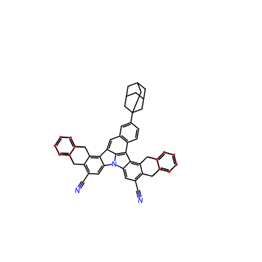 N#Cc1cc2c(c3c1C1c4ccccc4C3c3ccccc31)c1cc3cc(C45CC6CC(CC(C6)C4)C5)ccc3c3c4c5c(c(C#N)cc4n2c13)C1c2ccccc2C5c2ccccc21